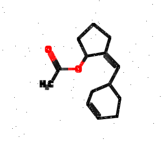 CC(=O)OC1CCC/C1=C/C1CC=CCC1